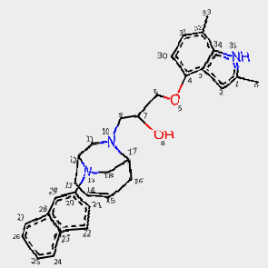 Cc1cc2c(OCC(O)CN3CC4C/C=C\CC3CN4c3ccc4ccccc4c3)ccc(C)c2[nH]1